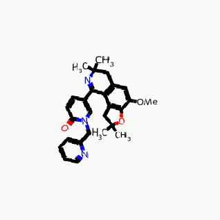 COc1cc2c(c3c1OC(C)(C)C3)C(c1ccc(=O)n(Cc3ccccn3)c1)=NC(C)(C)C2